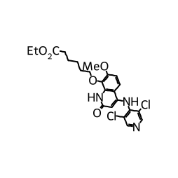 CCOC(=O)CCCCCOc1c(OC)ccc2c(Nc3c(Cl)cncc3Cl)cc(=O)[nH]c12